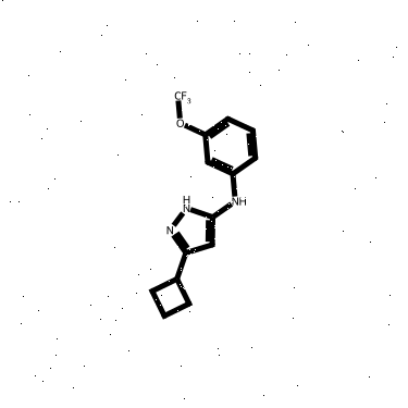 FC(F)(F)Oc1cccc(Nc2cc(C3CCC3)n[nH]2)c1